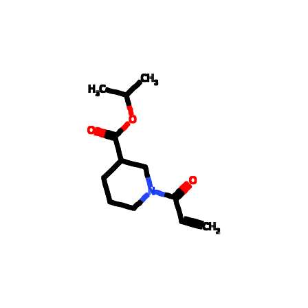 C=CC(=O)N1CCCC(C(=O)OC(C)C)C1